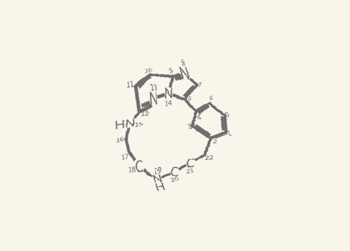 c1cc2cc(c1)-c1cnc3ccc(nn13)NCCCNCCC2